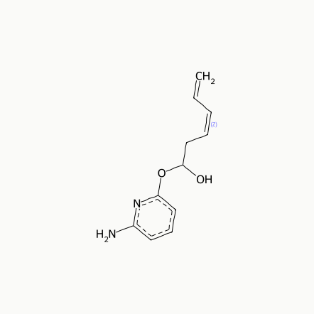 C=C/C=C\CC(O)Oc1cccc(N)n1